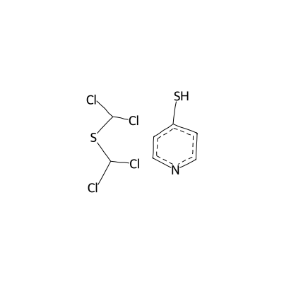 ClC(Cl)SC(Cl)Cl.Sc1ccncc1